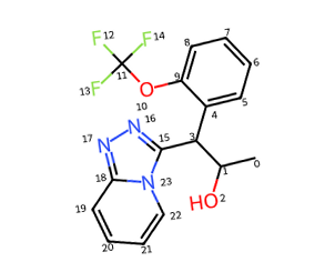 CC(O)C(c1ccccc1OC(F)(F)F)c1nnc2ccccn12